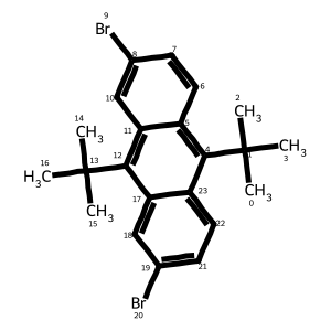 CC(C)(C)c1c2ccc(Br)cc2c(C(C)(C)C)c2cc(Br)ccc12